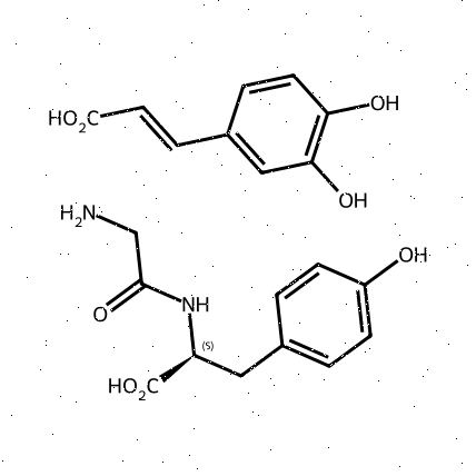 NCC(=O)N[C@@H](Cc1ccc(O)cc1)C(=O)O.O=C(O)C=Cc1ccc(O)c(O)c1